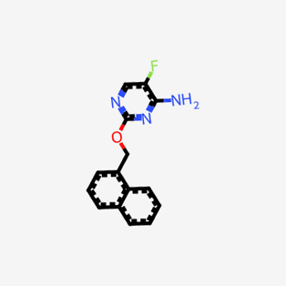 Nc1nc(OCc2cccc3ccccc23)ncc1F